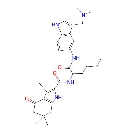 CCCCC(NC(=O)c1[nH]c2c(c1C)C(=O)CC(C)(C)C2)C(=O)Nc1ccc2[nH]cc(CN(C)C)c2c1